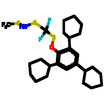 FC(F)(F)SNSC(F)(F)SOc1c(C2CCCCC2)cc(C2CCCCC2)cc1C1CCCCC1